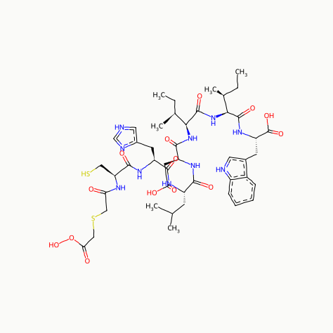 CC[C@H](C)[C@H](NC(=O)[C@H](CC(=O)O)NC(=O)[C@H](CC(C)C)NC(=O)[C@H](Cc1c[nH]cn1)NC(=O)[C@H](CS)NC(=O)CSCC(=O)OO)C(=O)N[C@H](C(=O)N[C@@H](Cc1c[nH]c2ccccc12)C(=O)O)[C@@H](C)CC